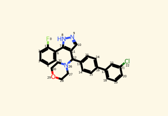 Fc1ccccc1-c1[nH]ncc1C(c1ccc(-c2cccc(Cl)c2)cc1)N1CCOCC1